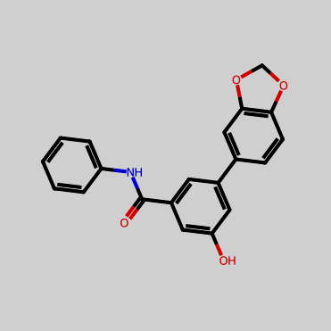 O=C(Nc1ccccc1)c1cc(O)cc(-c2ccc3c(c2)OCO3)c1